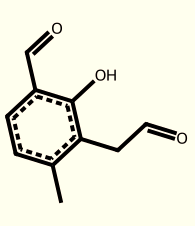 Cc1ccc(C=O)c(O)c1CC=O